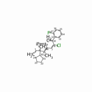 C=CC(C)(/C(C)=C(/C=C(/Cl)C(=C)c1ccccc1F)C(C)CCC)C1CCCC1